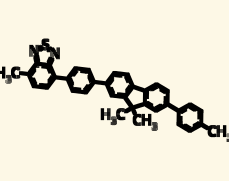 Cc1ccc(-c2ccc3c(c2)C(C)(C)c2cc(-c4ccc(-c5ccc(C)c6nsnc56)cc4)ccc2-3)cc1